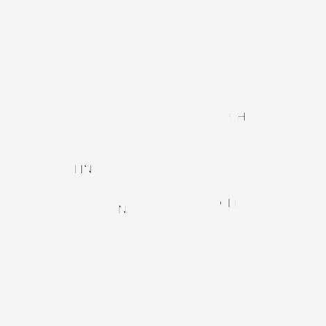 CCCC(CC)c1c[nH]cn1